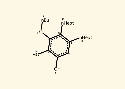 CCCCCCCc1cc(O)c(O)c(OCCCC)c1CCCCCCC